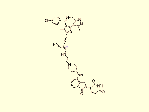 Cc1c(C#C/C(C=N)=C/NCCN2CCC(Nc3cccc4c3CN(C3CCC(=O)NC3=O)C4=O)CC2)sc2c1C(c1ccc(Cl)cc1)=NCc1nnc(C)n1-2